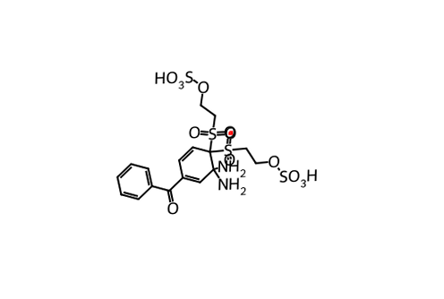 NC1(N)C=C(C(=O)c2ccccc2)C=CC1(S(=O)(=O)CCOS(=O)(=O)O)S(=O)(=O)CCOS(=O)(=O)O